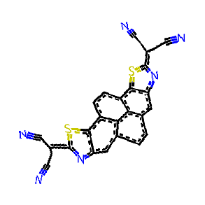 N#CC(C#N)=c1nc2cc3ccc4cc5nc(=C(C#N)C#N)sc5c5ccc(c2s1)c3c45